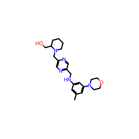 Cc1cc(NCc2cnc(CN3CCCCC3CO)cn2)cc(N2CCOCC2)c1